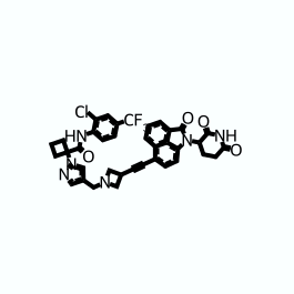 O=C1CCC(N2C(=O)c3cccc4c(C#CC5CN(Cc6cnn(C7(C(=O)Nc8ccc(C(F)(F)F)cc8Cl)CCC7)c6)C5)ccc2c34)C(=O)N1